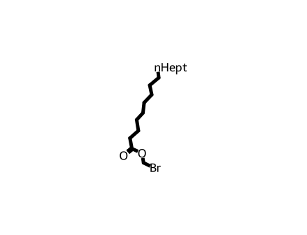 CCCCCCCCCCCCCCCC(=O)OCBr